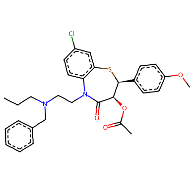 CCCN(CCN1C(=O)[C@H](OC(C)=O)[C@H](c2ccc(OC)cc2)Sc2cc(Cl)ccc21)Cc1ccccc1